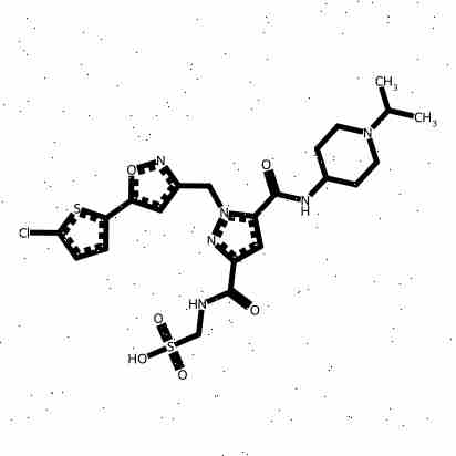 CC(C)N1CCC(NC(=O)c2cc(C(=O)NCS(=O)(=O)O)nn2Cc2cc(-c3ccc(Cl)s3)on2)CC1